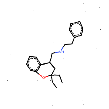 CCC1(CC)CC(CNCCc2ccccc2)c2ccccc2O1